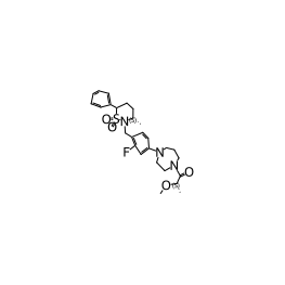 CO[C@@H](C)C(=O)N1CCCN(c2ccc(CN3[C@@H](C)CCC(c4ccccc4)S3(=O)=O)c(F)c2)CC1